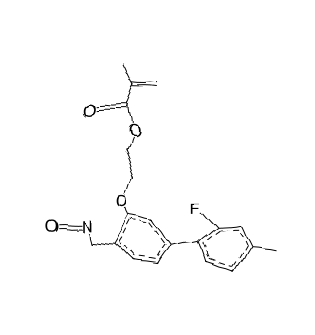 C=C(C)C(=O)OCCOc1cc(-c2ccc(C)cc2F)ccc1CN=O